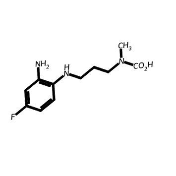 CN(CCCNc1ccc(F)cc1N)C(=O)O